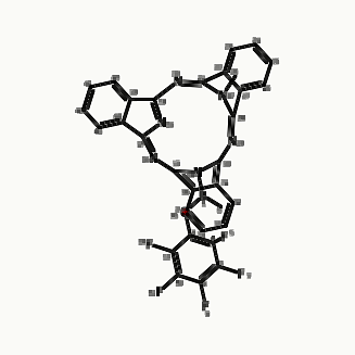 CB(Oc1c(F)c(F)c(F)c(F)c1F)n1c2nc3nc(nc4c5ccccc5c(nc1c1ccccc12)n4C)-c1ccccc1-3